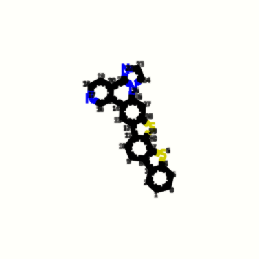 c1ccc2c(c1)sc1c2ccc2c3cc4c5cnccc5c5nccn5c4cc3sc21